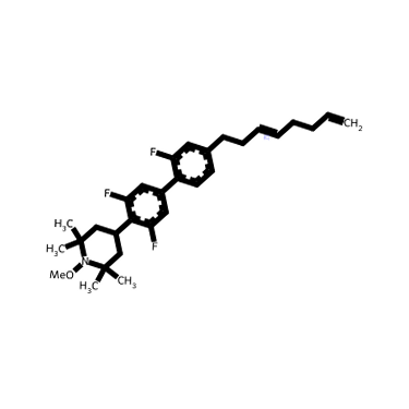 C=CCC/C=C/CCc1ccc(-c2cc(F)c(C3CC(C)(C)N(OC)C(C)(C)C3)c(F)c2)c(F)c1